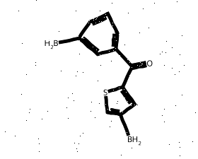 Bc1cccc(C(=O)c2cc(B)cs2)c1